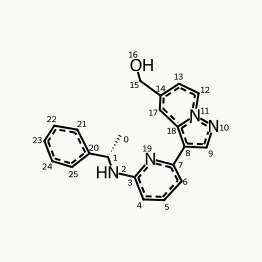 C[C@H](Nc1cccc(-c2cnn3ccc(CO)cc23)n1)c1ccccc1